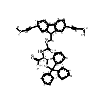 O=C(N[C@@H](CSC(c1ccccc1)(c1ccccc1)c1ccccc1)C(=O)O)OCC1c2cc(C#CSI)ccc2-c2ccc(C#CSI)cc21